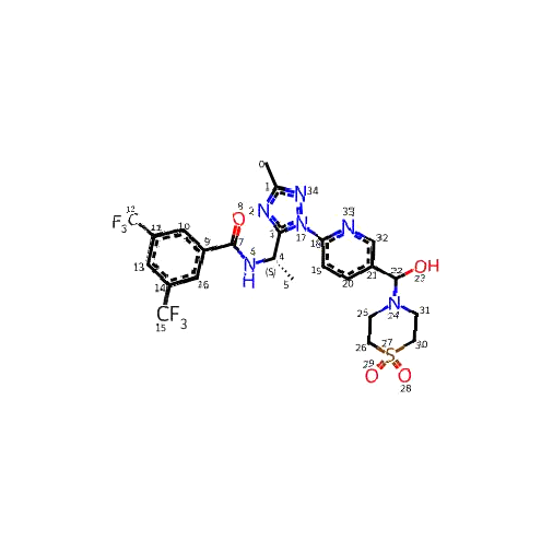 Cc1nc([C@H](C)NC(=O)c2cc(C(F)(F)F)cc(C(F)(F)F)c2)n(-c2ccc(C(O)N3CCS(=O)(=O)CC3)cn2)n1